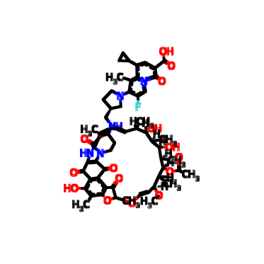 CO[C@H]1/C=C/O[C@@]2(C)Oc3c(C)c(O)c4c(c3C2=O)C(=O)C(N2CCC(NC[C@H]3CCN(c5c(F)cn6c(=O)c(C(=O)O)cc(C7CC7)c6c5C)C3)CC2)=C(NC(=O)/C(C)=C\C=C\[C@H](C)[C@H](O)[C@@H](C)[C@@H](O)[C@@H](C)[C@H](OC(C)=O)[C@@H]1C)C4=O